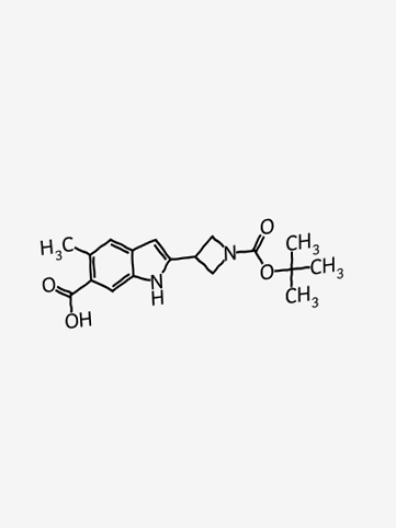 Cc1cc2cc(C3CN(C(=O)OC(C)(C)C)C3)[nH]c2cc1C(=O)O